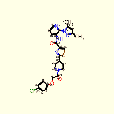 Cc1cc(C)n(-c2ncccc2NC(=O)c2csc(C3CCN(C(=O)COc4ccc(Cl)cc4)CC3)n2)n1